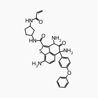 C=CC(=O)NC1CCC(NC(=O)c2sc3c(N)ccc4c3c2C(N)C(=O)C4(N)c2ccc(Oc3ccccc3)cc2)C1